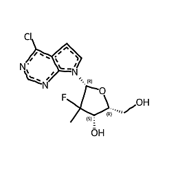 CC1(F)[C@@H](O)[C@@H](CO)O[C@H]1n1ccc2c(Cl)ncnc21